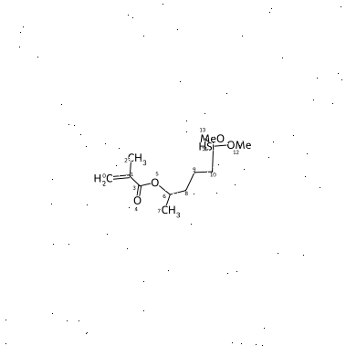 C=C(C)C(=O)OC(C)CCC[SiH](OC)OC